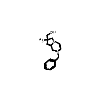 CC1(CO)CC2CN(Cc3ccccc3)CCN2C1